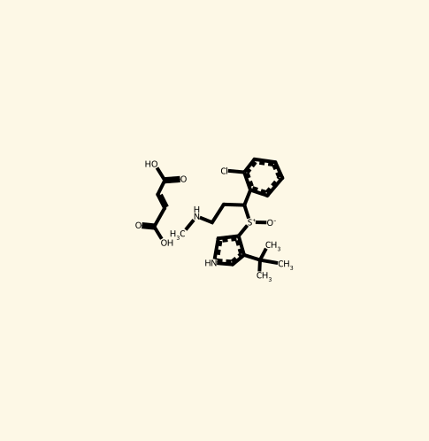 CNCCC(c1ccccc1Cl)[S+]([O-])c1c[nH]cc1C(C)(C)C.O=C(O)C=CC(=O)O